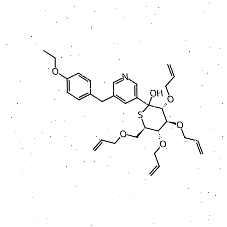 C=CCOC[C@H]1SC(O)(c2cncc(Cc3ccc(OCC)cc3)c2)[C@H](OCC=C)[C@@H](OCC=C)[C@@H]1OCC=C